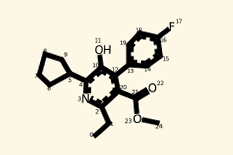 CCc1nc(C2CCCC2)c(O)c(-c2ccc(F)cc2)c1C(=O)OC